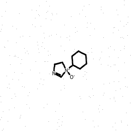 [O-][N+]1(C2CCCCC2)C=NCC1